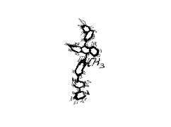 Cc1cc(C2=NC=C(c3ccccn3)CC2)ccc1C1=c2ccccc2=C(c2ccc3ccccc3c2)C2C=CC=CC12